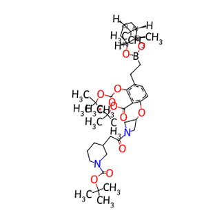 CC(C)(C)OC(=O)Oc1c(CCB2O[C@@H]3C[C@@H]4C[C@@H](C4(C)C)[C@]3(C)O2)ccc(OC2CN(C(=O)CC3CCCN(C(=O)OC(C)(C)C)C3)C2)c1C(=O)OC(C)(C)C